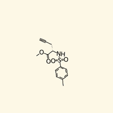 C#CC[C@H](NS(=O)(=O)c1ccc(C)cc1)C(=O)OC